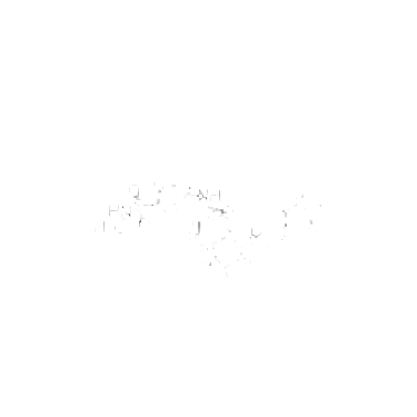 CNS(=O)(=O)c1ccc2c(c1)C(=Cc1cccc(OCc3ccccc3)c1)C(=O)N2